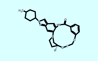 CC1CCC(n2cc3cc4c(cc3n2)N2CC[C@@H](C2)OCCOc2cccc(c2)C(=O)N4)CC1